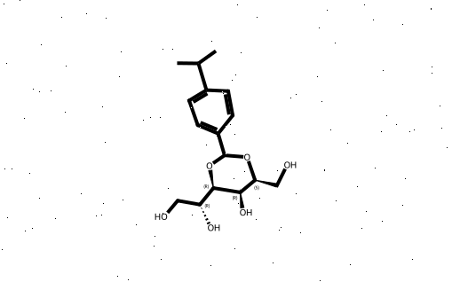 CC(C)c1ccc(C2O[C@H]([C@H](O)CO)[C@H](O)[C@H](CO)O2)cc1